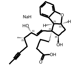 CC#CC[C@H](C)[C@H](O)C=C[C@]1(CCCC(=O)O)[C@H](O)C[C@@H]2Oc3ccccc3[C@@H]21.[NaH]